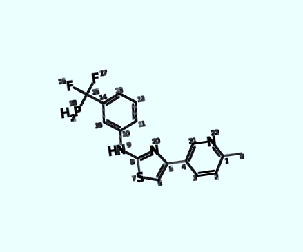 Cc1ccc(-c2csc(Nc3cccc(C(F)(F)P)c3)n2)cn1